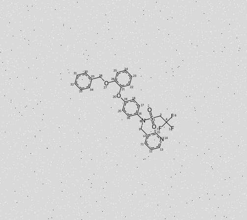 O=S(=O)(CC(F)(F)F)N(Cc1cccnc1)c1ccc(Oc2ccccc2OCc2ccccc2)cc1